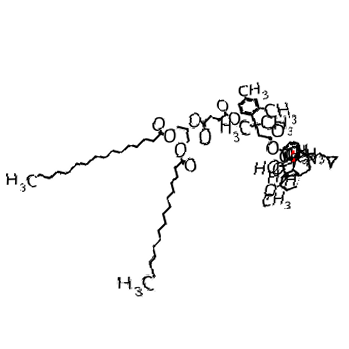 CCCCCCCCCCCCCCCC(=O)OCC(COC(=O)CCCCCCCCCCCCCCC)OC(=O)CCC(=O)Oc1cc(C)cc(C)c1C(C)(C)CC(=O)Oc1ccc2c3c1O[C@H]1[C@@]4(OC)CC[C@@]5(C[C@@H]4[C@](C)(O)C(C)(C)C)C(C2)N(CC2CC2)CC[C@]315